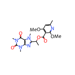 COc1cc(C)nc(OC)c1C(=O)OC(C)c1nc2c(c(=O)n(C)c(=O)n2C)n1C